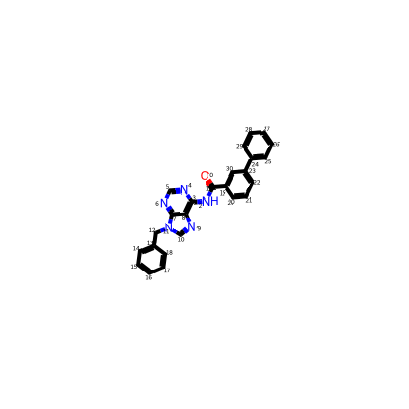 O=C(Nc1ncnc2c1ncn2Cc1ccccc1)c1cccc(-c2ccccc2)c1